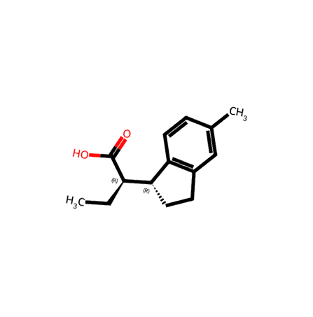 CC[C@@H](C(=O)O)[C@H]1CCc2cc(C)ccc21